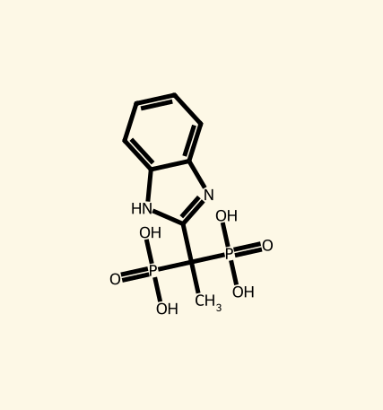 CC(c1nc2ccccc2[nH]1)(P(=O)(O)O)P(=O)(O)O